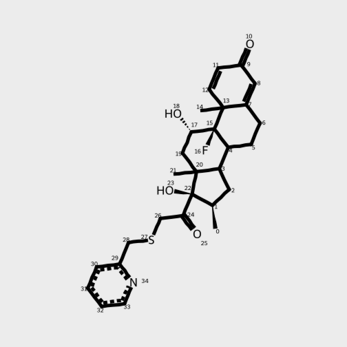 C[C@@H]1CC2C3CCC4=CC(=O)C=CC4(C)[C@@]3(F)[C@@H](O)CC2(C)[C@@]1(O)C(=O)CSCc1ccccn1